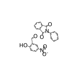 O=C1c2ccccc2C(=O)N1c1ccccc1.O=Cc1cc([N+](=O)[O-])ccc1O